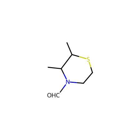 CC1SCCN(C=O)C1C